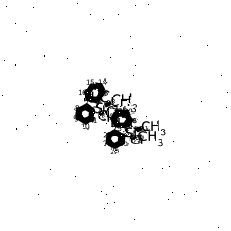 CC(C)(C)[Si](Cl)(c1ccccc1)c1ccccc1.CC(C)(C)[Si](Cl)(c1ccccc1)c1ccccc1